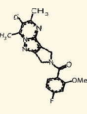 COc1cc(F)ccc1C(=O)N1Cc2nn3c(C)c(Cl)c(C)nc3c2C1